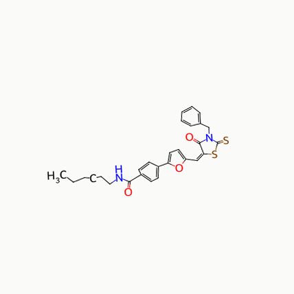 CCCCCCNC(=O)c1ccc(-c2ccc(/C=C3/SC(=S)N(Cc4ccccc4)C3=O)o2)cc1